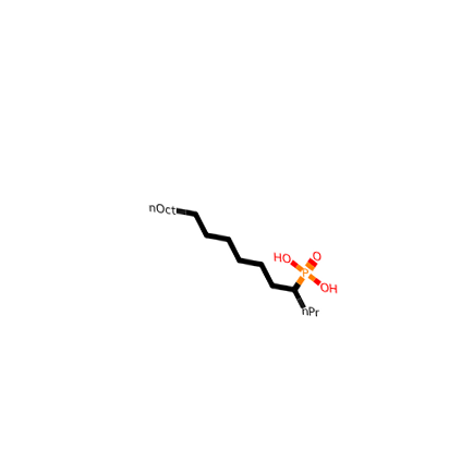 CCCCCCCCCCCCCCC(CCC)P(=O)(O)O